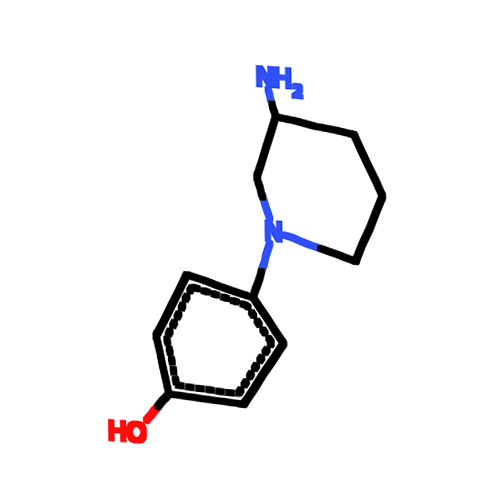 NC1CCCN(c2ccc(O)cc2)C1